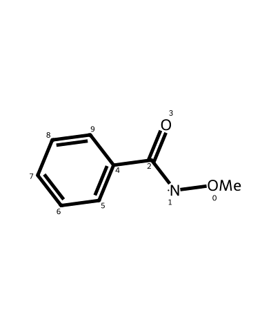 CO[N]C(=O)c1ccccc1